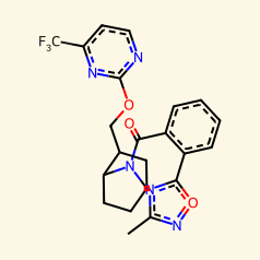 Cc1noc(-c2ccccc2C(=O)N2C3CCC2C(COc2nccc(C(F)(F)F)n2)C3)n1